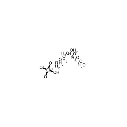 O.O.O.O.O.O.O.O.O.[O-][Cl+3]([O-])([O-])O